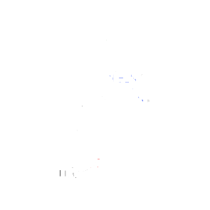 COc1ccc2c(c1)nnn2CCl